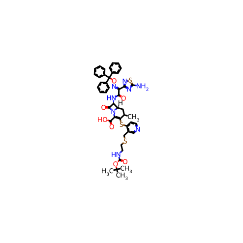 CC1C[C@@H]2[C@H](NC(=O)C(=NOC(c3ccccc3)(c3ccccc3)c3ccccc3)c3nsc(N)n3)C(=O)N2C(C(=O)O)=C1Sc1ccncc1CSCCNC(=O)OC(C)(C)C